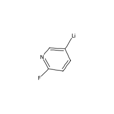 [Li][c]1ccc(F)nc1